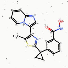 Cc1sc(C2(c3cccc(C(=O)NO)c3)CC2)nc1-c1cnc2ccccn12